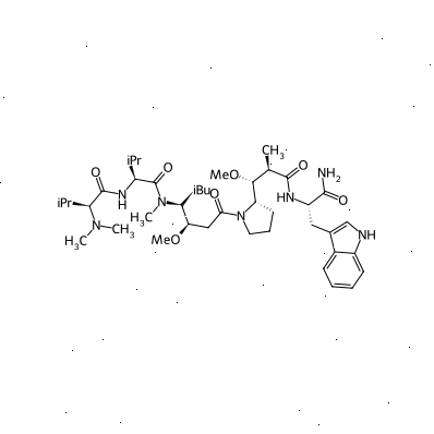 CC[C@H](C)[C@@H]([C@@H](CC(=O)N1CCC[C@H]1[C@H](OC)[C@@H](C)C(=O)N[C@@H](Cc1c[nH]c2ccccc12)C(N)=O)OC)N(C)C(=O)[C@@H](NC(=O)[C@H](C(C)C)N(C)C)C(C)C